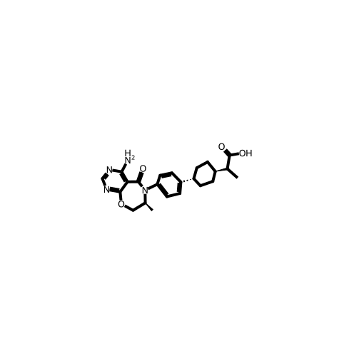 CC(C(=O)O)[C@H]1CC[C@H](c2ccc(N3C(=O)c4c(N)ncnc4OC[C@@H]3C)cc2)CC1